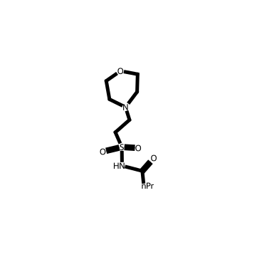 CCCC(=O)NS(=O)(=O)CCN1CCOCC1